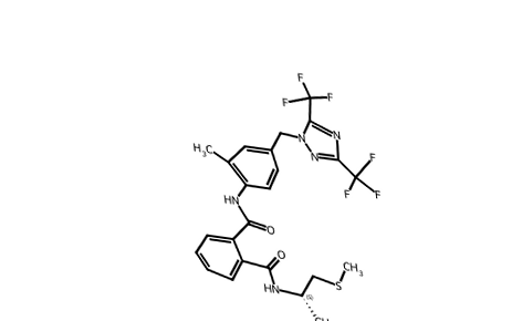 CSC[C@H](C)NC(=O)c1ccccc1C(=O)Nc1ccc(Cn2nc(C(F)(F)F)nc2C(F)(F)F)cc1C